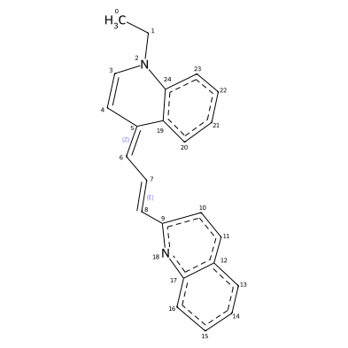 CCN1C=C/C(=C/C=C/c2ccc3ccccc3n2)c2ccccc21